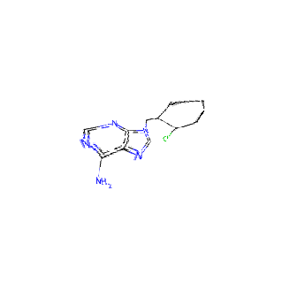 Nc1ncnc2c1ncn2CC1CCCC1Cl